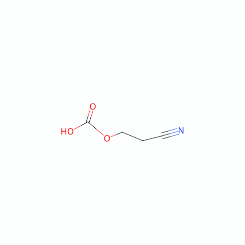 N#CCCOC(=O)O